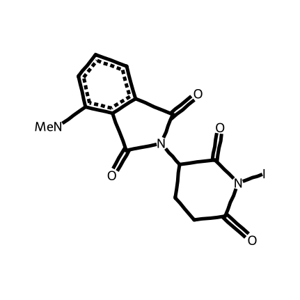 CNc1cccc2c1C(=O)N(C1CCC(=O)N(I)C1=O)C2=O